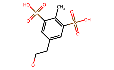 Cc1c(S(=O)(=O)O)cc(CC[O])cc1S(=O)(=O)O